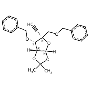 C#C[C@]1(COCc2ccccc2)O[C@@H]2OC(C)(C)O[C@@H]2[C@@H]1OCc1ccccc1